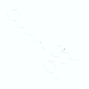 CN1CC[C@@]2(c3cccc(O)c3)C[C@H](NC(=O)CCCCCc3ccccc3)CC(O)[C@@H]2C1